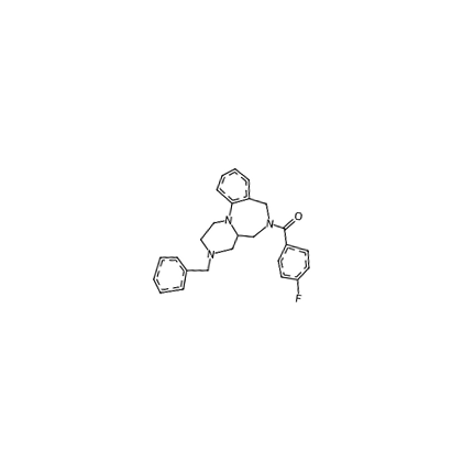 O=C(c1ccc(F)cc1)N1Cc2ccccc2N2CCN(Cc3ccccc3)CC2C1